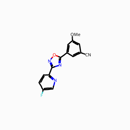 COc1cc(C#N)cc(-c2nc(-c3ccc(F)cn3)no2)c1